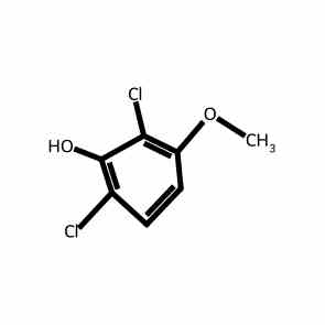 COc1ccc(Cl)c(O)c1Cl